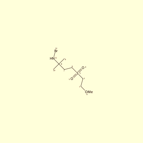 COCCS(=O)(=O)CCC(C)(C)NBr